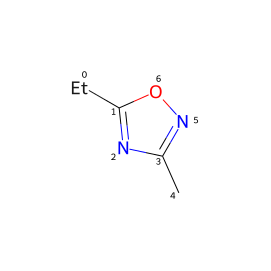 [CH2]Cc1nc(C)no1